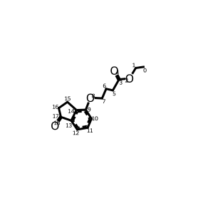 CCOC(=O)CCCOc1cccc2c1CCC2=O